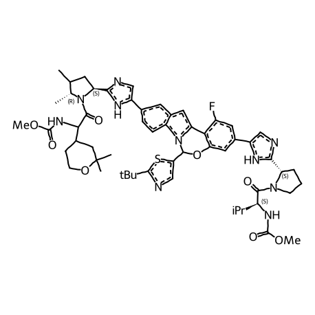 COC(=O)NC(C(=O)N1[C@H](C)C(C)C[C@H]1c1ncc(-c2ccc3c(c2)cc2n3C(c3cnc(C(C)(C)C)s3)Oc3cc(-c4cnc([C@@H]5CCCN5C(=O)[C@@H](NC(=O)OC)C(C)C)[nH]4)cc(F)c3-2)[nH]1)C1CCOC(C)(C)C1